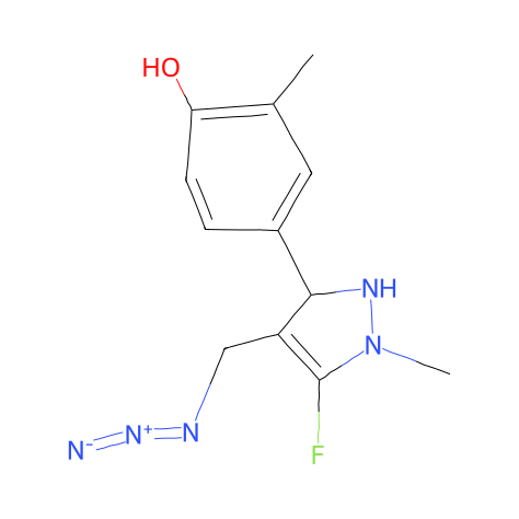 Cc1cc(C2NN(C)C(F)=C2CN=[N+]=[N-])ccc1O